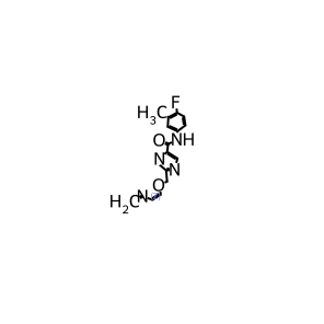 C=N/C=C\OCc1cnc(C(=O)Nc2ccc(F)c(C)c2)cn1